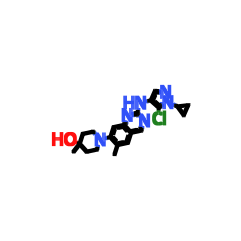 Cc1cc2cnc(Nc3cnn(C4CC4)c3Cl)nc2cc1N1CCC(C)(O)CC1